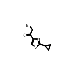 O=C(CBr)c1csc(C2CC2)n1